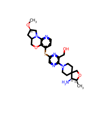 CO[C@@H]1CC2COc3c(Sc4cnc(N5CCC6(CC5)CO[C@@H](C)[C@H]6N)c(CO)n4)ccnc3N2C1